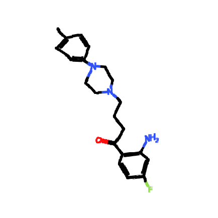 Cc1ccc(N2CCN(CCCC(=O)c3ccc(F)cc3N)CC2)cc1